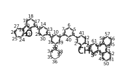 Cc1cc(-c2cccc(-c3cc(-c4ccc(-c5cccc6c5oc5ccccc56)cc4)cc(C4CCCCC4)c3)c2)ccc1-c1ccc2c3ccccc3c3ccccc3c2c1